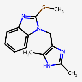 CSc1nc2ccccc2n1Cc1nc(C)[nH]c1C